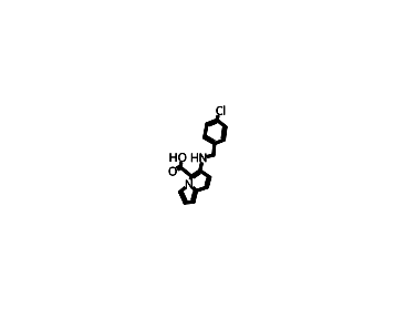 O=C(O)c1c(NCc2ccc(Cl)cc2)ccc2cccn12